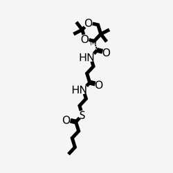 CCCCC(=O)SCCNC(=O)CCNC(=O)[C@@H]1OC(C)(C)OCC1(C)C